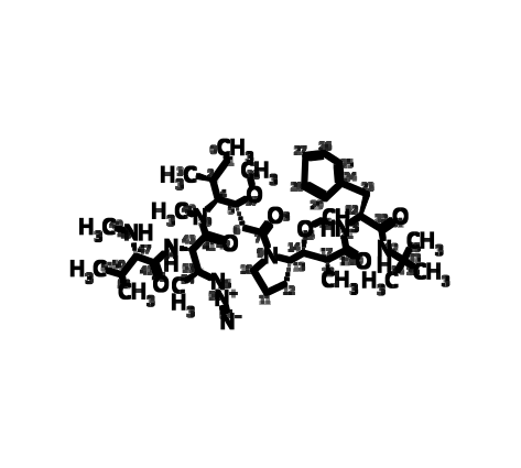 CC[C@H](C)[C@@H]([C@@H](CC(=O)N1CCC[C@H]1[C@H](OC)[C@@H](C)C(=O)N[C@@H](Cc1ccccc1)C(=O)NC(C)(C)C)OC)N(C)C(=O)[C@@H](NC(=O)[C@@H](NC)C(C)C)[C@H](C)N=[N+]=[N-]